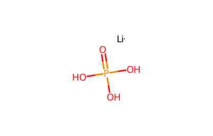 O=P(O)(O)O.[Li]